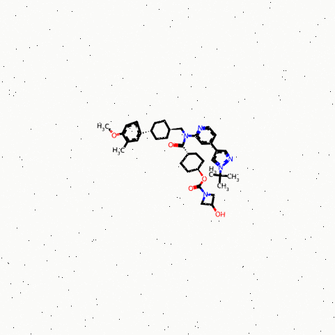 COc1ccc([C@H]2CC[C@H](CN(c3cc(-c4cnn(C(C)(C)C)c4)ccn3)C(=O)[C@H]3CC[C@H](OC(=O)N4CC(O)C4)CC3)CC2)cc1C